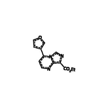 CCOC(=O)c1ncn2c(-c3ccoc3)ccnc12